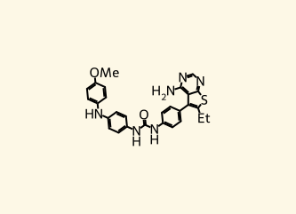 CCc1sc2ncnc(N)c2c1-c1ccc(NC(=O)Nc2ccc(Nc3ccc(OC)cc3)cc2)cc1